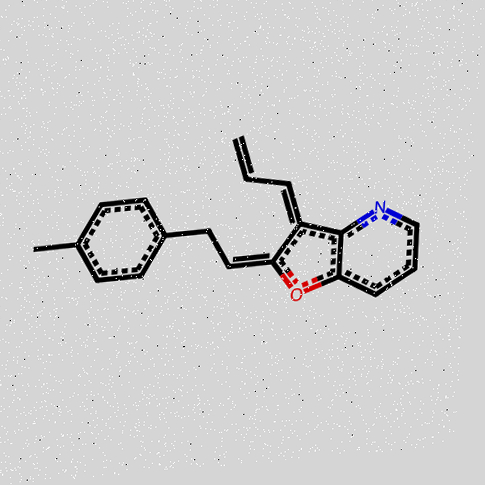 C=C/C=c1\c(=C/Cc2ccc(C)cc2)oc2cccnc12